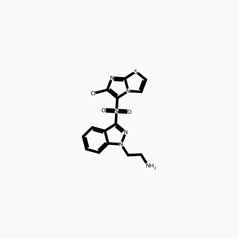 NCCn1nc(S(=O)(=O)c2c(Cl)nc3sccn23)c2ccccc21